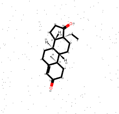 CC[C@]12CC[C@H]3[C@@H](CCC4=CC(=O)CC[C@@]43C)[C@@H]1CCC2=O